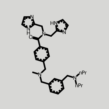 CCCN(CCC)Cc1cccc(CN(C)Cc2ccc(C(=O)N(Cc3ncc[nH]3)Cc3ncc[nH]3)cc2)c1